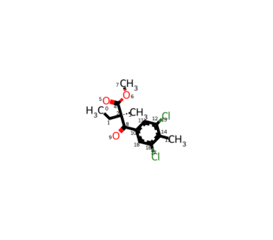 CC[C@@](C)(C(=O)OC)C(=O)c1cc(Cl)c(C)c(Cl)c1